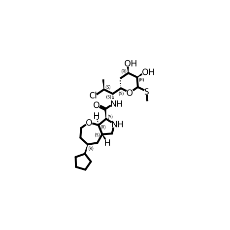 CSC1O[C@H]([C@H](NC(=O)[C@H]2NC[C@@H]3C[C@@H](C4CCCC4)CCO[C@H]32)[C@H](C)Cl)C[C@@H](O)[C@H]1O